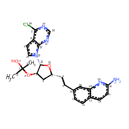 CC(C)(O)O[C@@H]1C[C@@H](CCc2ccc3ccc(N)nc3c2)O[C@H]1n1ccc2c(Cl)ncnc21